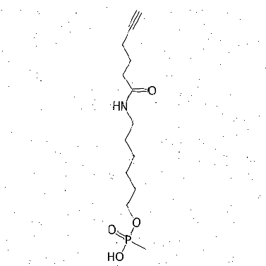 C#CCCCC(=O)NCCCCCCOP(C)(=O)O